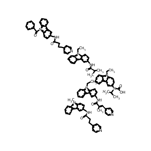 CCn1c2ccccc2c2cc(N(C(=O)O)C(C)C)ccc21.CCn1c2ccccc2c2cc(NC(=O)C(C)=Cc3ccncc3)ccc21.CCn1c2ccccc2c2cc(NC(=O)C(C)C)ccc21.Cn1c2ccccc2c2cc(NC(=O)CCc3ccncc3)ccc21.O=C(CCc1ccncc1)Nc1ccc2c(c1)c1ccccc1n2C(=O)c1ccccc1